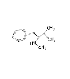 CN[C@@H](Cc1ccccc1)C(C)C